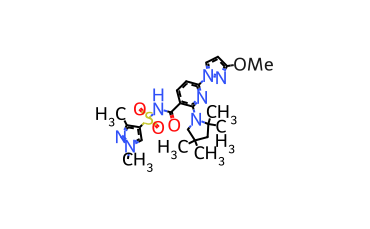 COc1ccn(-c2ccc(C(=O)NS(=O)(=O)c3cn(C)nc3C)c(N3CC(C)(C)CC3(C)C)n2)n1